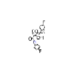 CCOC(=O)CC(C(=O)/C=C/c1ccc(F)cc1)=C(O)C=Cc1ccc(F)cc1